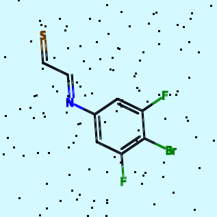 Fc1cc(N=CC=S)cc(F)c1Br